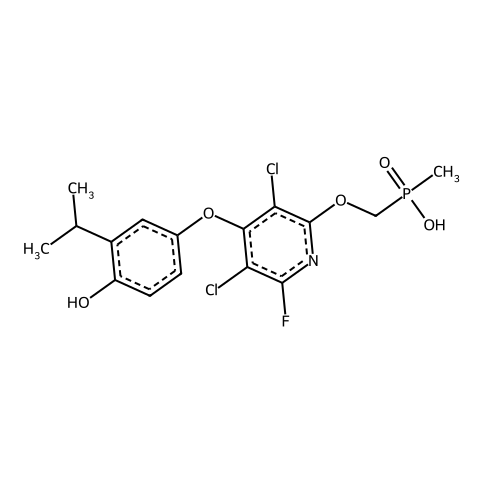 CC(C)c1cc(Oc2c(Cl)c(F)nc(OCP(C)(=O)O)c2Cl)ccc1O